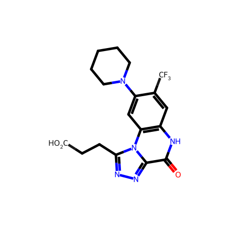 O=C(O)CCc1nnc2c(=O)[nH]c3cc(C(F)(F)F)c(N4CCCCC4)cc3n12